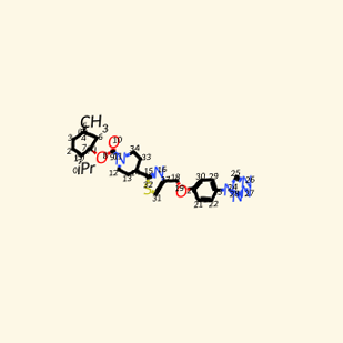 CC(C)[C@@H]1CC[C@@H](C)C[C@H]1OC(=O)N1CCC(c2nc(COc3ccc(-n4cnnn4)cc3)cs2)CC1